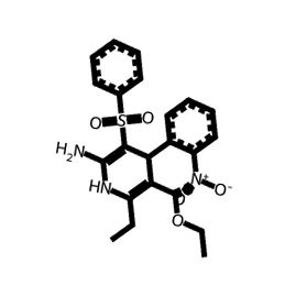 CCOC(=O)C1=C(CC)NC(N)=C(S(=O)(=O)c2ccccc2)C1c1ccccc1[N+](=O)[O-]